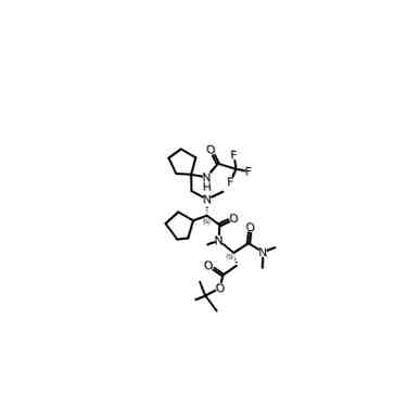 CN(C)C(=O)[C@H](CC(=O)OC(C)(C)C)N(C)C(=O)[C@H](C1CCCC1)N(C)CC1(NC(=O)C(F)(F)F)CCCC1